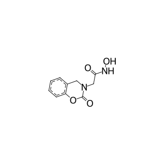 O=C(CN1Cc2ccccc2OC1=O)NO